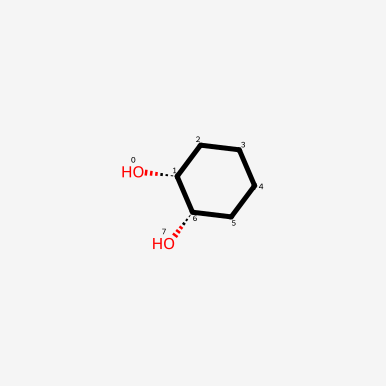 O[C@@H]1CC[CH]C[C@@H]1O